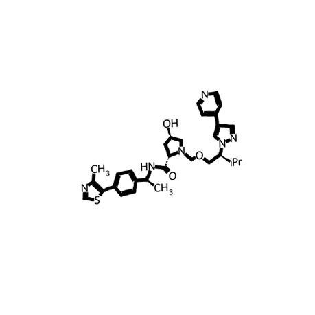 Cc1ncsc1-c1ccc([C@H](C)NC(=O)[C@@H]2C[C@@H](O)CN2COC[C@H](C(C)C)n2cc(-c3ccncc3)cn2)cc1